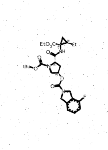 CCOC(=O)[C@@]1(NC(=O)[C@@H]2C[C@@H](OC(=O)N3Cc4cccc(F)c4C3)CN2C(=O)OC(C)(C)C)C[C@H]1CC